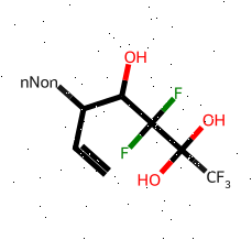 C=CC(CCCCCCCCC)C(O)C(F)(F)C(O)(O)C(F)(F)F